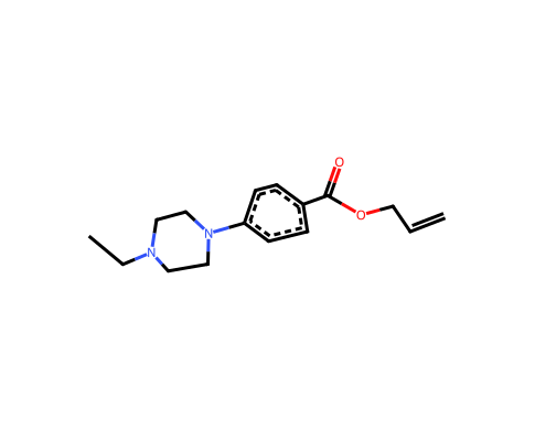 C=CCOC(=O)c1ccc(N2CCN(CC)CC2)cc1